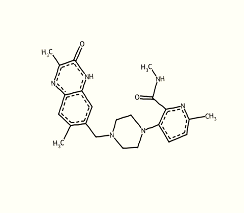 CNC(=O)c1nc(C)ccc1N1CCN(Cc2cc3[nH]c(=O)c(C)nc3cc2C)CC1